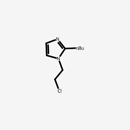 CCCCc1nccn1CCCl